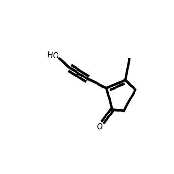 CC1=C(C#CO)C(=O)CC1